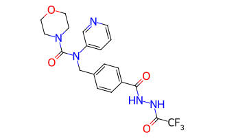 O=C(NNC(=O)C(F)(F)F)c1ccc(CN(C(=O)N2CCOCC2)c2cccnc2)cc1